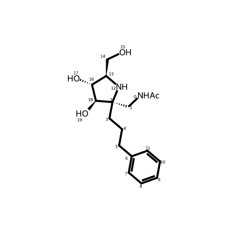 CC(=O)NC[C@@]1(CCCc2ccccc2)N[C@H](CO)[C@@H](O)[C@@H]1O